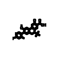 COc1cc2c(cc1-c1cnc(F)cc1C)CC(C(C)(C)C)n1cc(C(=O)O)c(=O)cc1-2